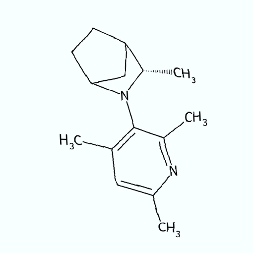 Cc1cc(C)c(N2C3CCC(C3)[C@@H]2C)c(C)n1